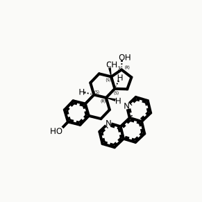 C[C@]12CC[C@@H]3c4ccc(O)cc4CC[C@H]3[C@@H]1CC[C@H]2O.c1cnc2c(c1)ccc1cccnc12